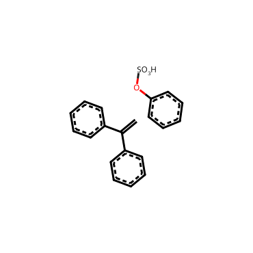 C=C(c1ccccc1)c1ccccc1.O=S(=O)(O)Oc1ccccc1